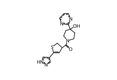 O=C(C1C=C(c2cn[nH]c2)SC1)N1CCC(O)(c2ncccn2)CC1